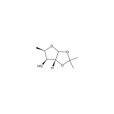 C[C@H]1OC2OC(C)(C)O[C@@H]2[C@H]1O